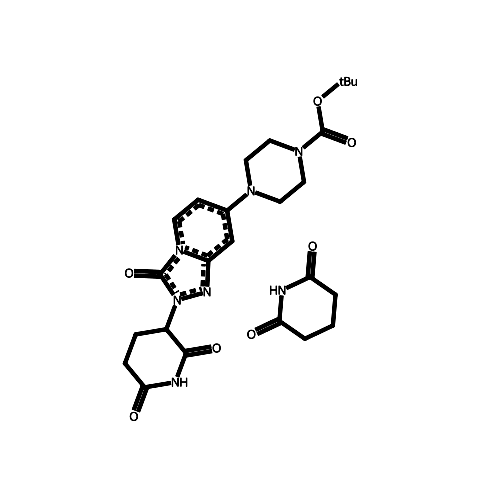 CC(C)(C)OC(=O)N1CCN(c2ccn3c(=O)n(C4CCC(=O)NC4=O)nc3c2)CC1.O=C1CCCC(=O)N1